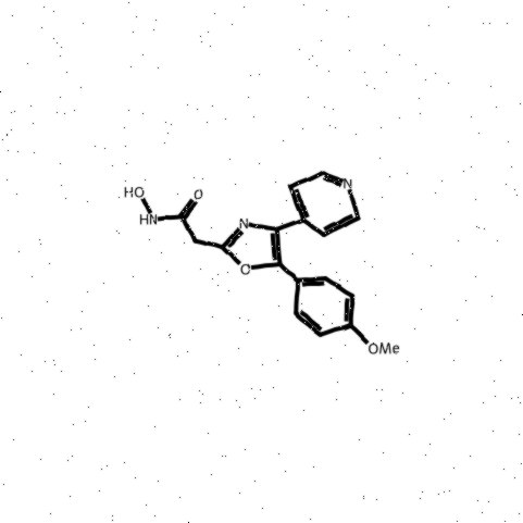 COc1ccc(-c2oc(CC(=O)NO)nc2-c2ccncc2)cc1